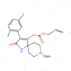 C=CCOC(=O)OC1=C(c2cc(C)ccc2C)C(=O)NC12CCN(OC)CC2